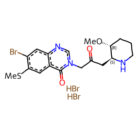 Br.Br.CO[C@@H]1CCCN[C@H]1CC(=O)Cn1cnc2cc(Br)c(SC)cc2c1=O